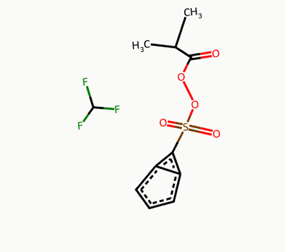 CC(C)C(=O)OOS(=O)(=O)c1c2cccc1-2.FC(F)F